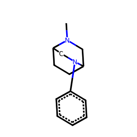 CN1CC2CCC1CN2c1ccccc1